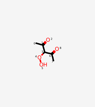 CC(=O)C(OO)C(C)=O